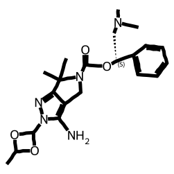 CC1OC(n2nc3c(c2N)CN(C(=O)O[C@H](CN(C)C)c2ccccc2)C3(C)C)O1